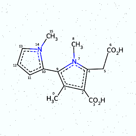 Cc1c(C(=O)O)c(CC(=O)O)n(C)c1-c1cccn1C